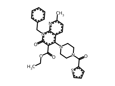 CCOC(=O)c1c(N2CCN(C(=O)c3cccs3)CC2)c2ccc(C)nc2n(Cc2ccccc2)c1=O